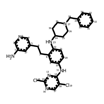 Nc1cncc(CCc2cc(Nc3nc(Cl)ncc3Cl)ccc2NC2CCN(Cc3ccccc3)CC2)c1